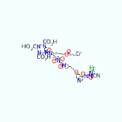 Cc1ccc(CCCC(=O)OCCCCCC(CNC(=O)CN2CCN(CC(=O)O)CCN(CC(=O)O)CCN(CC(=O)O)CC2)SC2CC(=O)N(CC(C)C(=O)N3CCC(CCCCOc4ccc5nccc(C(=O)NCC(=O)N6CC(F)(F)C[C@@H]6C#N)c5c4)CC3)C2=O)cc1